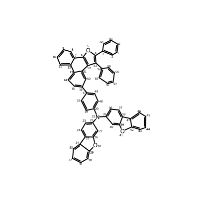 c1ccc(-c2oc3c4ccccc4c4ccc(-c5ccc(N(c6ccc7c(c6)oc6ccccc67)c6ccc7c(c6)oc6ccccc67)cc5)cc4c3c2-c2ccccc2)cc1